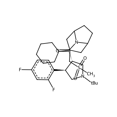 CC(C)(C)N1C[C@@H](C(=O)N2C3CCC2CC(CS(C)(=O)=O)(C2CCCCC2)C3)[C@H](c2ccc(F)cc2F)C1